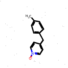 Cc1ccc(Cc2cc[n+]([O-])cc2)cc1